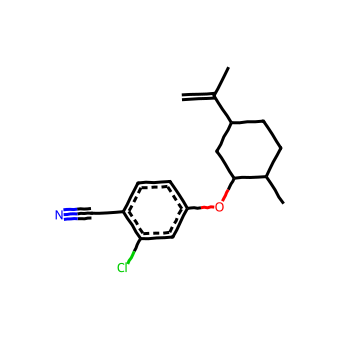 C=C(C)C1CCC(C)C(Oc2ccc(C#N)c(Cl)c2)C1